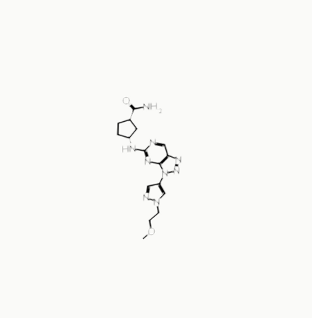 COCCn1cc(-n2nnc3cnc(N[C@@H]4CC[C@@H](C(N)=O)C4)nc32)cn1